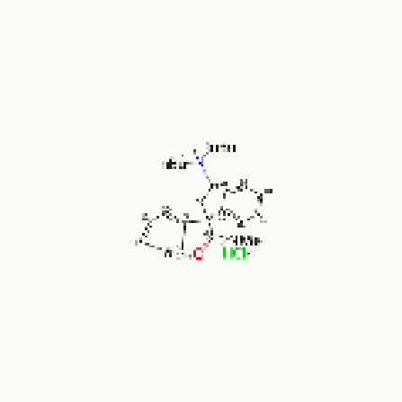 CCCCN(CCCC)CCC(C(=O)NC)(c1ccccc1)c1ccccc1.Cl